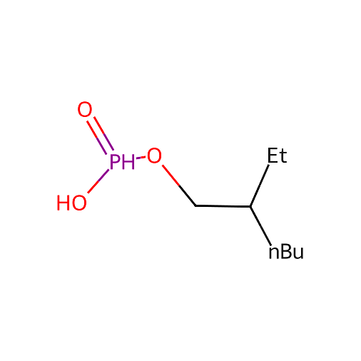 CCCCC(CC)CO[PH](=O)O